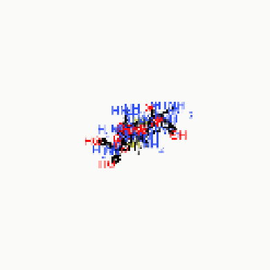 C[C@@H](O)[C@H](NC(=O)[C@H](CCN)NC(=O)[C@H](CCCNC(=N)N)NC(=O)[C@H](CC(N)=O)NC(=O)[C@@H](NC(=O)[C@H](Cc1ccc(O)cc1)NC(=O)[C@@H](N)Cc1ccc(O)cc1)C(C)(C)S)C(=O)N[C@H](CCN)C(=O)N[C@@H](CCCCN)C(=O)N[C@@H](CS)C(=O)N[C@@H](CCC(N)=O)C(=O)N[C@@H](CCCNC(=N)N)C(=O)N[C@@H](Cc1ccc(O)cc1)C(=O)O